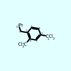 [CH2]C(C)Cc1ccc(C(Cl)(Cl)Cl)cc1C(Cl)(Cl)Cl